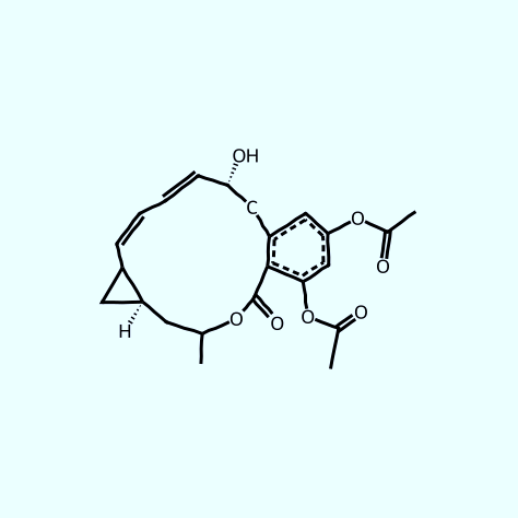 CC(=O)Oc1cc2c(c(OC(C)=O)c1)C(=O)OC(C)C[C@H]1CC1/C=C\C=C\[C@H](O)C2